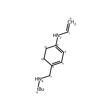 C=CNC1=CC=C(CNC(C)(C)C)CC1